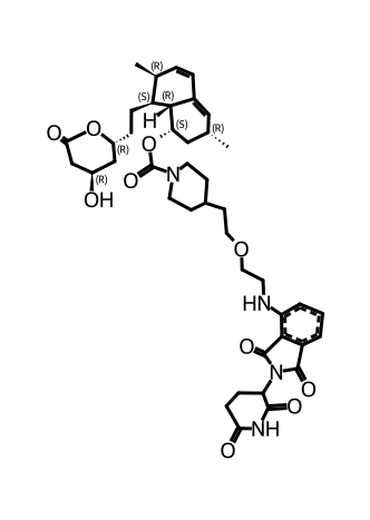 C[C@H]1C=C2C=C[C@H](C)[C@H](CC[C@@H]3C[C@@H](O)CC(=O)O3)[C@H]2[C@@H](OC(=O)N2CCC(CCOCCNc3cccc4c3C(=O)N(C3CCC(=O)NC3=O)C4=O)CC2)C1